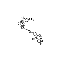 O=C1CCC(N2C(=O)c3ccc(N4CC(C#Cc5cnn(C6(C(=O)Nc7ccc(C(F)(F)F)cc7Cl)CCCC6)c5)C4)cc3C2O)C(=O)N1